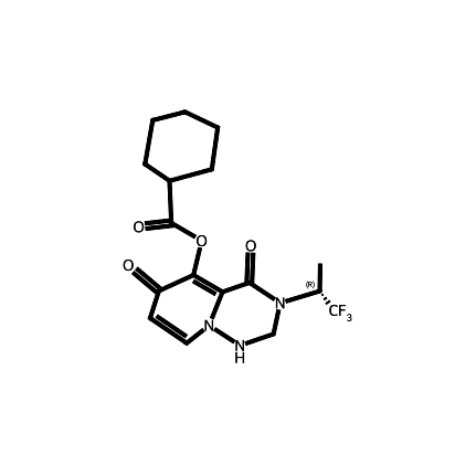 C[C@@H](N1CNn2ccc(=O)c(OC(=O)C3CCCCC3)c2C1=O)C(F)(F)F